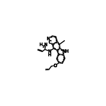 C=CCOc1ccc2[nH]c3c(C)c4ccncc4c(NC(N)C=C)c3c2c1